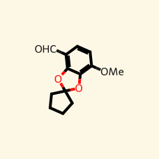 COc1ccc(C=O)c2c1OC1(CCCC1)O2